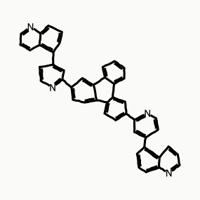 c1cc(-c2ccnc(-c3ccc4c5ccc(-c6cc(-c7cccc8ncccc78)ccn6)cc5c5ccccc5c4c3)c2)c2cccnc2c1